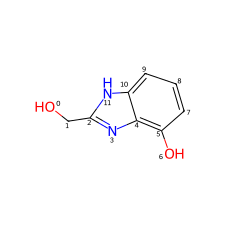 OCc1nc2c(O)cccc2[nH]1